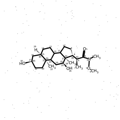 CON(C)C(=O)[C@@H](C)[C@H]1CCC2C3CC[C@@H]4C[C@H](O)CC[C@]4(C)C3C[C@H](O)[C@@]21C